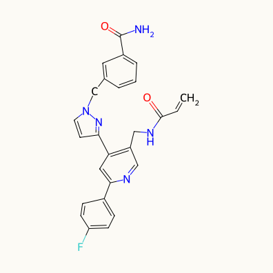 C=CC(=O)NCc1cnc(-c2ccc(F)cc2)cc1-c1ccn(Cc2cccc(C(N)=O)c2)n1